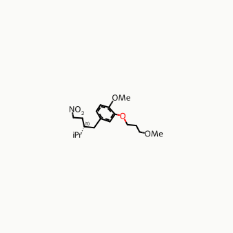 COCCCOc1cc(C[C@@H](CC[N+](=O)[O-])C(C)C)ccc1OC